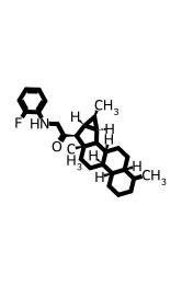 CC1CCC[C@@H]2[C@H]3CC[C@@]4(C)C([C@@H]5[C@H](C)[C@@H]5[C@@H]4C(=O)CNc4ccccc4F)[C@@H]3CC[C@H]12